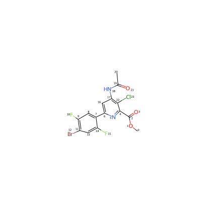 COC(=O)c1nc(-c2cc(F)c(Br)cc2F)cc(NC(C)=O)c1Cl